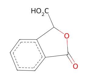 O=C1OC(C(=O)O)c2ccccc21